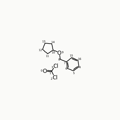 O=C(Cl)Cl.c1ccc(COC2CCCC2)cc1